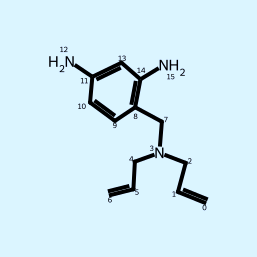 C=CCN(CC=C)Cc1ccc(N)cc1N